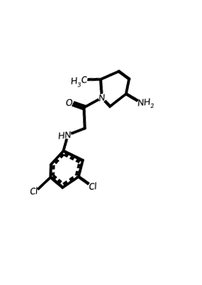 CC1CCC(N)CN1C(=O)CNc1cc(Cl)cc(Cl)c1